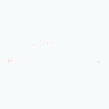 COC1C=C(Br)CCC1CC(=O)O